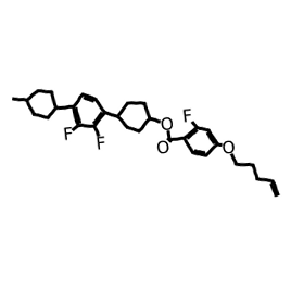 C=CCCCOc1ccc(C(=O)OC2CCC(c3ccc(C4CCC(C)CC4)c(F)c3F)CC2)c(F)c1